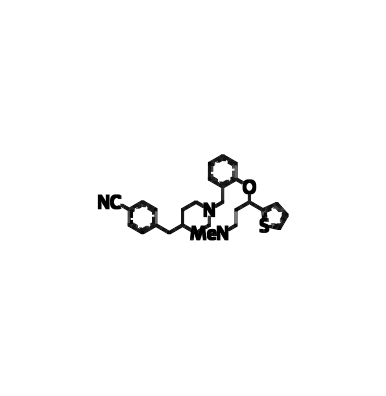 CNCCC(Oc1ccccc1CN1CCC(Cc2ccc(C#N)cc2)CC1)c1cccs1